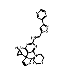 Nc1nc(NCc2cc(-c3cncnc3)no2)nc(N2CCOCC2)c1C1(C2CC2)C=CNN1